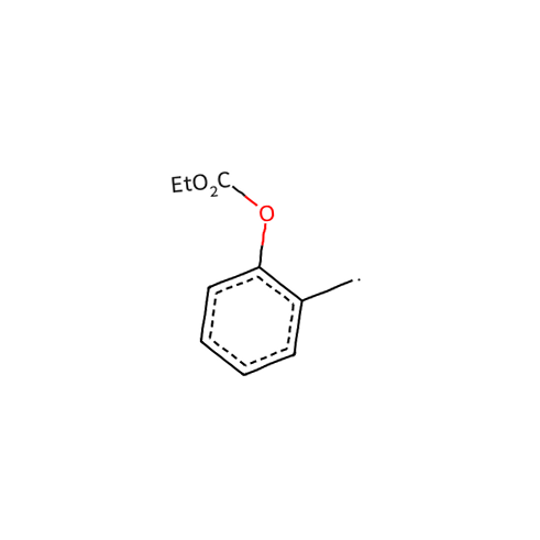 [CH2]c1ccccc1OC(=O)OCC